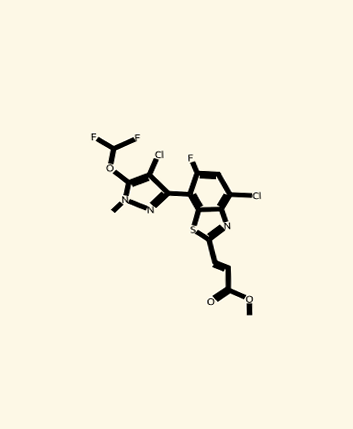 COC(=O)/C=C/c1nc2c(Cl)cc(F)c(-c3nn(C)c(OC(F)F)c3Cl)c2s1